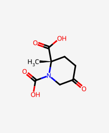 C[C@@]1(C(=O)O)CCC(=O)CN1C(=O)O